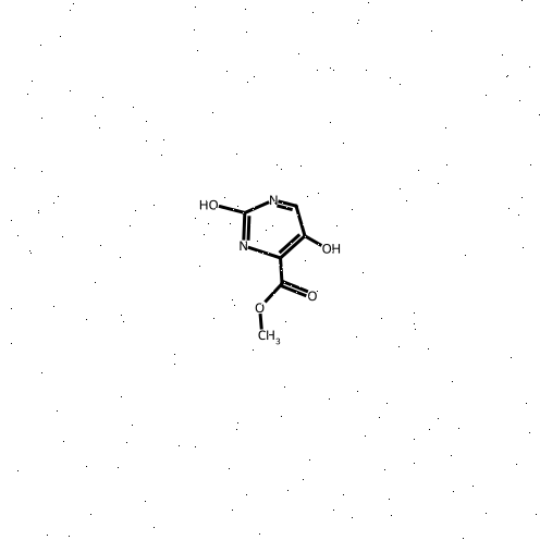 COC(=O)c1nc(O)ncc1O